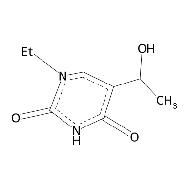 CCn1cc(C(C)O)c(=O)[nH]c1=O